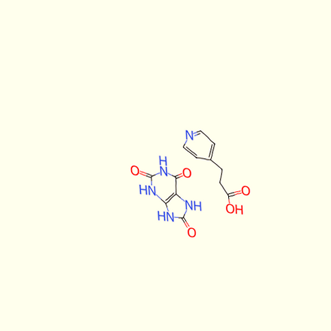 O=C(O)CCc1ccncc1.O=c1[nH]c(=O)c2[nH]c(=O)[nH]c2[nH]1